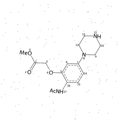 COC(=O)COc1cc(N2CCNCC2)ccc1NC(C)=O